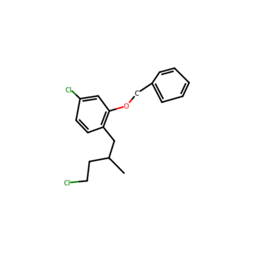 C[C](CCCl)Cc1ccc(Cl)cc1OCc1ccccc1